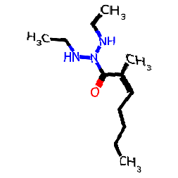 CCCCC=C(C)C(=O)N(NCC)NCC